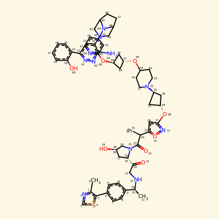 Cc1ncsc1-c1ccc([C@H](C)NCC(=O)[C@@H]2C[C@@H](O)CN2C(=O)C(c2cc(O[C@H]3C[C@H](N4CCC(O[C@H]5C[C@H](Oc6cc(N7C8CCC7CN(c7cc(-c9ccccc9O)nnc7N)C8)ccn6)C5)CC4)C3)no2)C(C)C)cc1